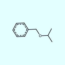 CC(C)OCc1ccccc1